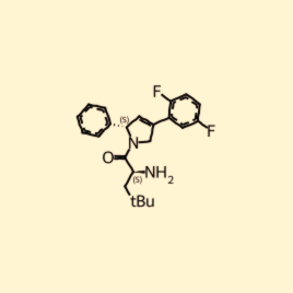 CC(C)(C)C[C@H](N)C(=O)N1CC(c2cc(F)ccc2F)=C[C@H]1c1ccccc1